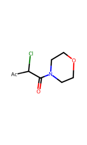 CC(=O)C(Cl)C(=O)N1CCOCC1